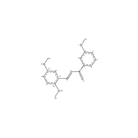 COc1cccc(C(=O)C=Cc2cc(OC)ccc2OC)c1